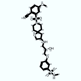 CNS(=O)(=O)c1cccc(OC[C@@H](O)CNC2COC3(CCN(S(=O)(=O)c4cc(OC)ccc4C#N)CC3)C2)c1